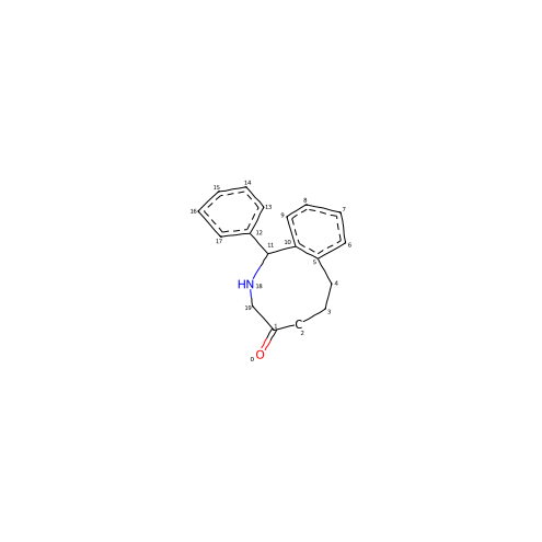 O=C1CCCc2ccccc2C(c2ccccc2)NC1